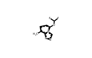 Cc1ccc(OC(F)F)n2cnnc12